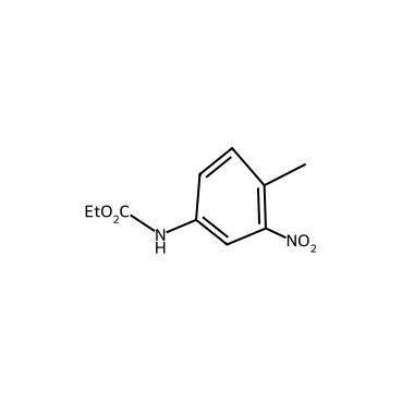 CCOC(=O)Nc1ccc(C)c([N+](=O)[O-])c1